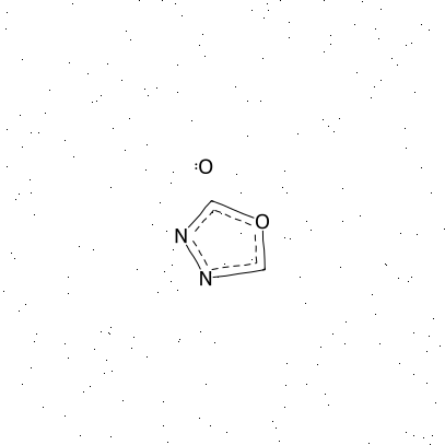 [O].c1nnco1